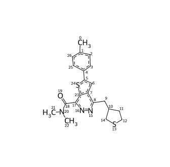 Cc1ccc(-c2cc3c(CC4CCSC4)nnc(C(=O)N(C)C)c3s2)cc1